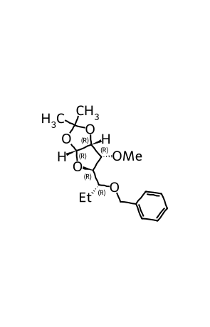 CC[C@@H](OCc1ccccc1)[C@H]1O[C@@H]2OC(C)(C)O[C@@H]2[C@@H]1OC